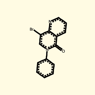 O=c1c2cccnc2c(Br)cn1-c1ccccc1